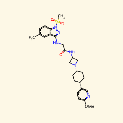 COc1ccc([C@H]2CC[C@@H](N3CC(NC(=O)CNc4nn(S(C)(=O)=O)c5ccc(C(F)(F)F)cc45)C3)CC2)cn1